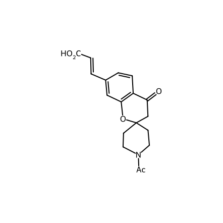 CC(=O)N1CCC2(CC1)CC(=O)c1ccc(C=CC(=O)O)cc1O2